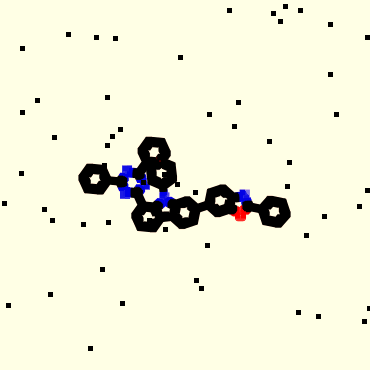 c1ccc(-c2nc(-c3ccccc3)nc(-c3cccc4c5ccc(-c6ccc7nc(-c8ccccc8)oc7c6)cc5n(-c5ccccc5)c34)n2)cc1